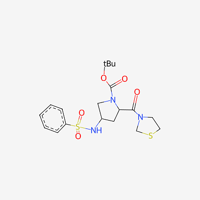 CC(C)(C)OC(=O)N1CC(NS(=O)(=O)c2ccccc2)CC1C(=O)N1CCSC1